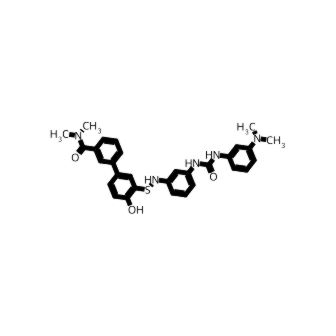 CN(C)C(=O)c1cccc(-c2ccc(O)c(SNc3cccc(NC(=O)Nc4cccc(N(C)C)c4)c3)c2)c1